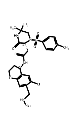 Cc1ccc(S(=O)(=O)N2CC(C)(C)NC(=O)[C@H]2CC(=O)N[C@@H]2CCOc3cc(CNC(C)(C)C)c(Cl)cc32)cc1